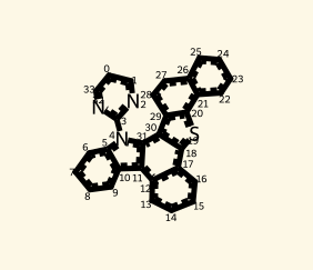 c1cnc(-n2c3ccccc3c3c4ccccc4c4sc5c6ccccc6ccc5c4c32)nc1